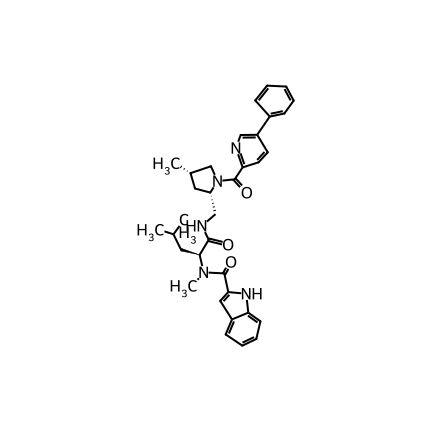 CC(C)C[C@@H](C(=O)NC[C@@H]1C[C@H](C)CN1C(=O)c1ccc(-c2ccccc2)cn1)N(C)C(=O)c1cc2ccccc2[nH]1